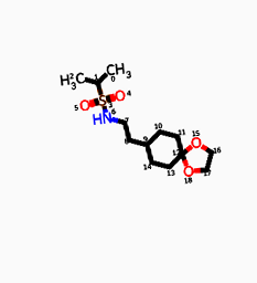 CC(C)S(=O)(=O)NCCC1CCC2(CC1)OCCO2